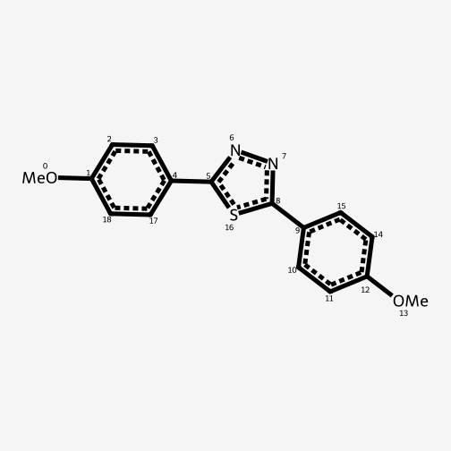 COc1ccc(-c2nnc(-c3ccc(OC)cc3)s2)cc1